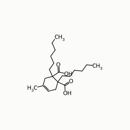 CCCCCCC1(C(=O)O)CC=C(C)CC1(CCCCCC)C(=O)O